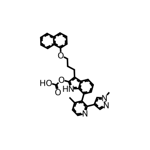 Cc1ccnc(-c2cnn(C)c2)c1-c1cccc2c(CCCOc3cccc4ccccc34)c(OC(=O)O)[nH]c12